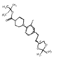 CC(C)(C)OC(=O)N1CCN(c2ncc(CC[C@H]3COC(C)(C)O3)cc2F)CC1